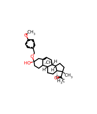 COc1ccc(CO[C@@]2(O)CC[C@@]3(C)C(=CC[C@@H]4[C@@H]3CC[C@@]3(C)[C@H]4CC[C@]3(C)C(C)=O)C2)cc1